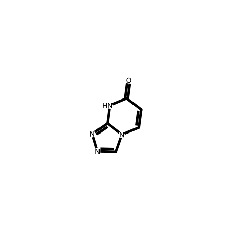 O=c1ccn2cnnc2[nH]1